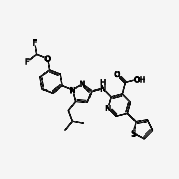 CC(C)Cc1cc(Nc2ncc(-c3cccs3)cc2C(=O)O)nn1-c1cccc(OC(F)F)c1